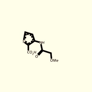 COCC(=O)Nc1ccsc1C(=O)O